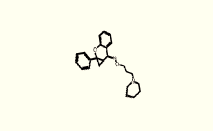 c1ccc(C23CC2C(=NOCCCN2CCCCC2)c2ccccc2O3)cc1